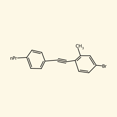 CCCc1ccc(C#Cc2ccc(Br)cc2C)cc1